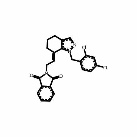 O=C1c2ccccc2C(=O)N1CC=C1CCCc2cnn(Cc3ccc(Cl)cc3Cl)c21